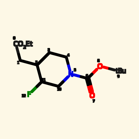 CCOC(=O)CC1CCN(C(=O)OC(C)(C)C)CC1F